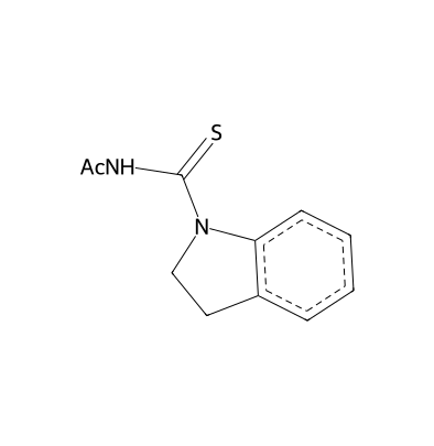 CC(=O)NC(=S)N1CCc2ccccc21